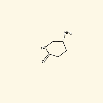 N[C@@H]1CCC(=O)NC1